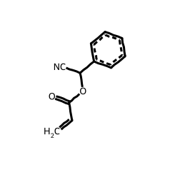 C=CC(=O)OC(C#N)c1ccccc1